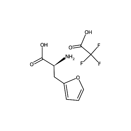 N[C@@H](Cc1ccco1)C(=O)O.O=C(O)C(F)(F)F